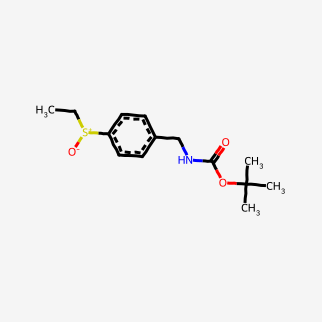 CC[S+]([O-])c1ccc(CNC(=O)OC(C)(C)C)cc1